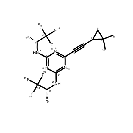 C[C@@H](Nc1nc(C#CC2CC2(C)C)nc(N[C@H](C)C(F)(F)F)n1)C(F)(F)F